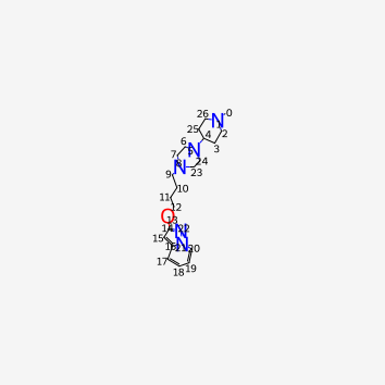 CN1CCC(N2CCN(CCCCOc3cc4ccccn4n3)CC2)CC1